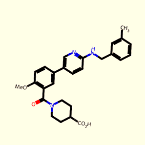 COc1ccc(-c2ccc(NCc3cccc(C)c3)nc2)cc1C(=O)N1CCC(C(=O)O)CC1